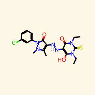 CCn1c(O)c(/N=N/c2c(C)n(C)n(-c3cccc(Cl)c3)c2=O)c(=O)n(CC)c1=S